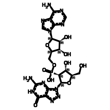 Nc1nc2c(nnn2[C@@H]2O[C@H](CO)[C@@H](O)[C@H]2P(=O)(O)OC[C@H]2O[C@@H](n3cnc4c(N)ncnc43)[C@H](O)[C@@H]2O)c(=O)[nH]1